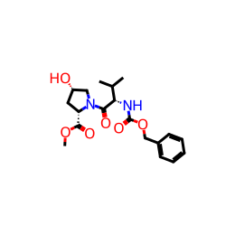 COC(=O)[C@@H]1C[C@H](O)CN1C(=O)[C@@H](NC(=O)OCc1ccccc1)C(C)C